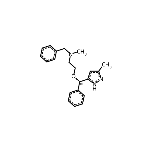 Cc1cc([C@H](OCCN(C)Cc2ccccc2)c2ccccc2)[nH]n1